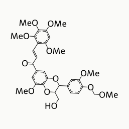 COCOc1ccc(C2Oc3cc(C(=O)C=Cc4c(OC)cc(OC)c(OC)c4OC)cc(OC)c3OC2CO)cc1OC